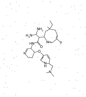 CCC1(C)C/C=C(F)\C=N/C(C(C(=O)NC2C=NCCC2OC2=CNC(CN(C)C)C=C2)C(N)N)C1